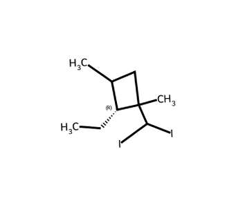 CC[C@@H]1C(C)CC1(C)C(I)I